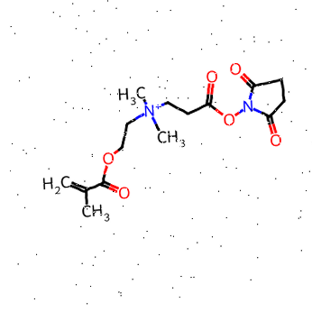 C=C(C)C(=O)OCC[N+](C)(C)CCC(=O)ON1C(=O)CCC1=O